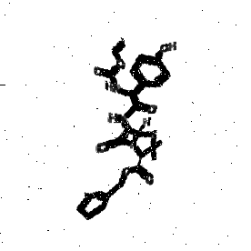 CC1(C)S[C@@H]2C(NC(=O)C(NC(=O)OCI)c3ccc(O)cc3)C(=O)N2[C@H]1C(=O)OCc1ccccc1